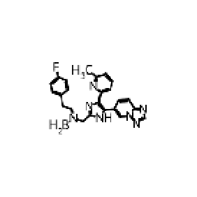 BN(CCc1ccc(F)cc1)Cc1nc(-c2cccc(C)n2)c(-c2ccc3ncnn3c2)[nH]1